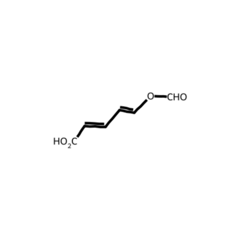 O=CO/C=C/C=C/C(=O)O